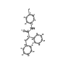 Cc1ccc(NC(=O)C(=Cc2ccccc2)c2ccccc2)cc1